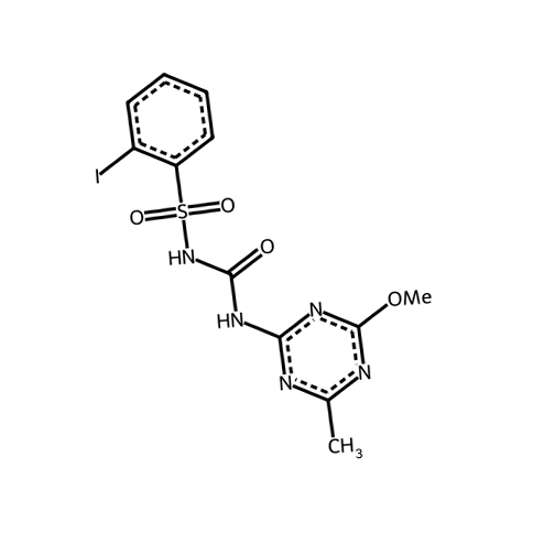 COc1nc(C)nc(NC(=O)NS(=O)(=O)c2ccccc2I)n1